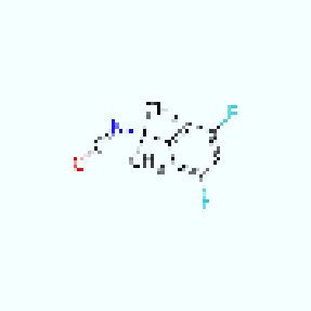 CC(C)(N=C=O)c1cc(F)cc(F)c1